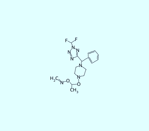 C=NOC(C)ON1CCN(C(c2ccccc2)c2nnn(C(F)F)n2)CC1